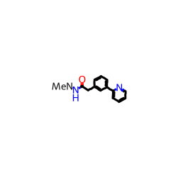 CNNC(=O)Cc1cccc(-c2ccccn2)c1